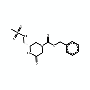 CS(=O)(=O)NC[C@@H]1CN(C(=O)OCc2ccccc2)CC(=O)N1